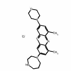 Cc1cc(N2CCCNCC2)cc2[s+]c3cc(N4CCOCC4)cc(C)c3nc12.[Cl-]